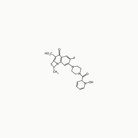 CC1Sc2c(C(=O)O)c(=O)c3cc(F)c(N4CCN(C(=O)C5C=CC=CN5O)CC4)cc3n21